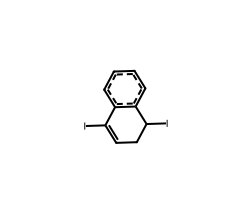 IC1=CCC(I)c2ccccc21